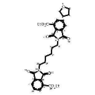 C1CCOC1.CCOC(=O)c1cccc2c1C(=O)N(CCCCCCN1C(=O)c3cccc(C(=O)OCC)c3C1=O)C2=O